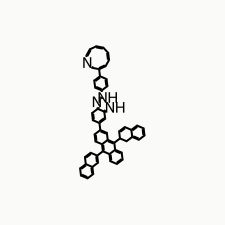 N=C1C=C(c2ccc3c(-c4ccc5ccccc5c4)c4ccccc4c(C4C=Cc5ccccc5C4)c3c2)C=C/C1=N/Nc1ccc(-c2cccccccnc2)cc1